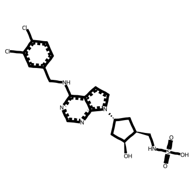 O=S(=O)(O)NC[C@@H]1C[C@@H](n2ccc3c(NCc4ccc(Cl)c(Cl)c4)ncnc32)C[C@@H]1O